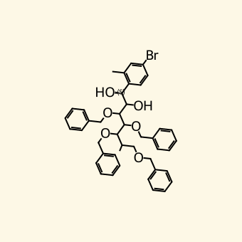 Cc1cc(Br)ccc1[C@H](O)C(O)C(OCc1ccccc1)C(OCc1ccccc1)C(OCc1ccccc1)C(C)COCc1ccccc1